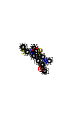 c1ccc(N(c2ccc3c(c2)C2(c4ccccc4-c4ccc(N(c5ccccc5)c5ccc6sc7ccccc7c6c5)cc42)c2c-3sc3ccccc23)c2ccc3oc4ccccc4c3c2)cc1